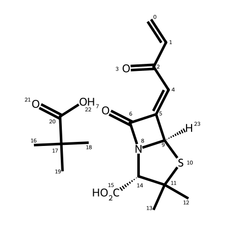 C=CC(=O)/C=C1\C(=O)N2[C@@H]1SC(C)(C)[C@@H]2C(=O)O.CC(C)(C)C(=O)O